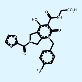 O=C(O)CNC(=O)c1c(O)c2c(n(Cc3ccc(C(F)(F)F)cc3)c1=O)CN(C(=O)c1nccs1)C2